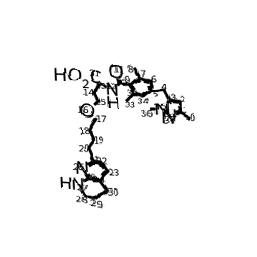 Cc1cc(Cc2cc(C)c(C(=O)NC(CCOCCCCc3ccc4c(n3)NCCC4)C(=O)O)c(C)c2)n(C)n1